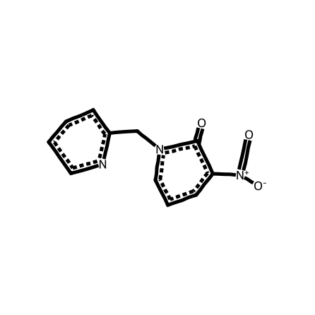 O=c1c([N+](=O)[O-])cccn1Cc1ccccn1